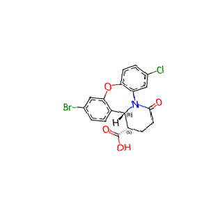 O=C(O)[C@H]1CCC(=O)N2c3cc(Cl)ccc3Oc3cc(Br)ccc3[C@@H]12